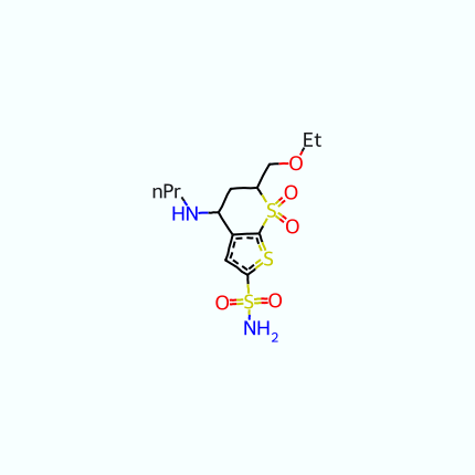 CCCNC1CC(COCC)S(=O)(=O)c2sc(S(N)(=O)=O)cc21